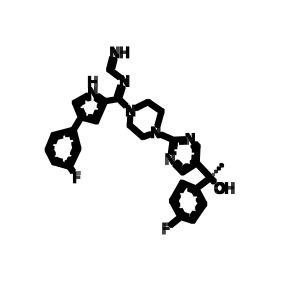 C[C@](O)(c1ccc(F)cc1)c1cnc(N2CCN(/C(=N/C=N)c3cc(-c4cccc(F)c4)c[nH]3)CC2)nc1